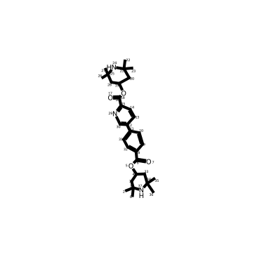 CC1(C)CC(OC(=O)c2ccc(-c3ccc(C(=O)OC4CC(C)(C)NC(C)(C)C4)nc3)cc2)CC(C)(C)N1